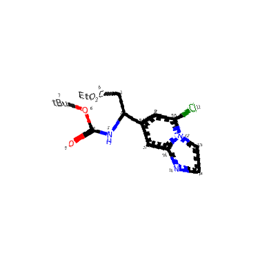 CCOC(=O)CC(NC(=O)OC(C)(C)C)c1cc(Cl)n2ccnc2c1